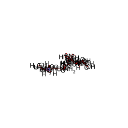 CC(C)NCCC(C)(C)NCCN/C1=C(\N=N)c2ccccc2CN(C(=O)CCNC(=O)CCOCCNC(=O)[C@@H](CN)N2C(=O)CC(SCC(NC(=O)CNC(=O)C(Cc3c[nH]c4ccccc34)NC(=O)C(Cc3c[nH]c4ccccc34)NC(=O)CNC(=O)C(Cc3ccccc3)NNC(=O)CC[C@H](NC(=O)N[C@@H](CCC(=O)O)C(=O)O)C(=O)O)C(=O)O)C2=O)c2ccccc21